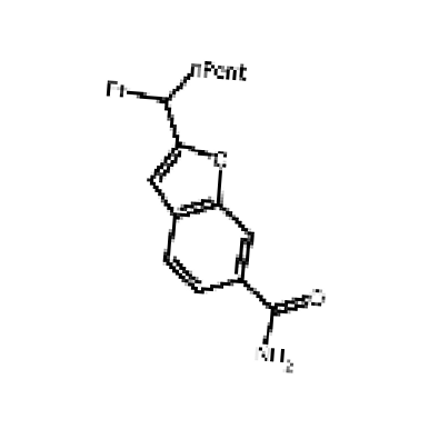 CCCCCC(CC)c1cc2ccc(C(N)=O)cc2o1